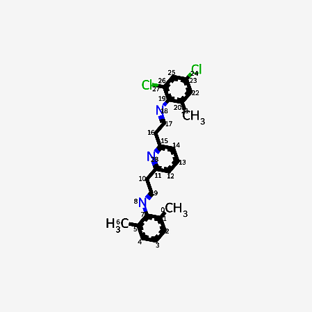 Cc1cccc(C)c1N=CCc1cccc(CC=Nc2c(C)cc(Cl)cc2Cl)n1